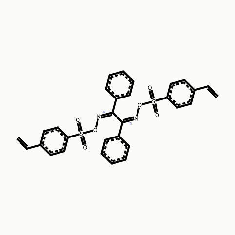 C=Cc1ccc(S(=O)(=O)O/N=C(\C(=N/OS(=O)(=O)c2ccc(C=C)cc2)c2ccccc2)c2ccccc2)cc1